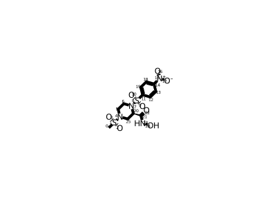 CS(=O)(=O)N1CCN(S(=O)(=O)c2ccc([N+](=O)[O-])cc2)[C@@H](C(=O)NO)C1